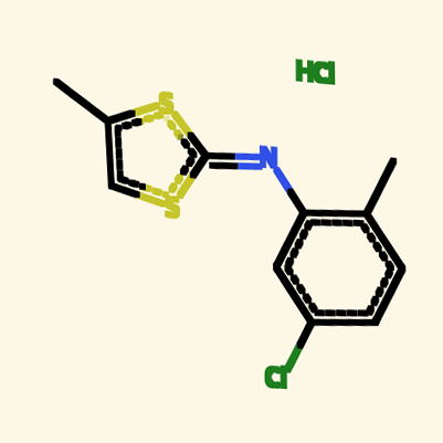 Cc1csc(=Nc2cc(Cl)ccc2C)s1.Cl